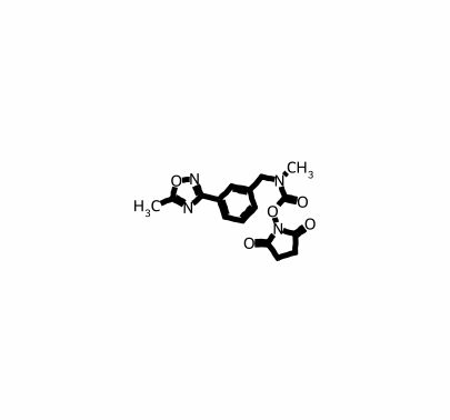 Cc1nc(-c2cccc(CN(C)C(=O)ON3C(=O)CCC3=O)c2)no1